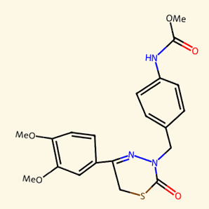 COC(=O)Nc1ccc(CN2N=C(c3ccc(OC)c(OC)c3)CSC2=O)cc1